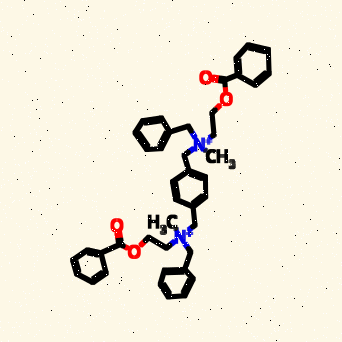 C[N+](CCOC(=O)c1ccccc1)(Cc1ccccc1)Cc1ccc(C[N+](C)(CCOC(=O)c2ccccc2)Cc2ccccc2)cc1